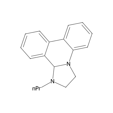 CCCN1CCN2c3ccccc3-c3ccccc3C12